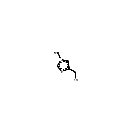 CC(C)(C)n1cnc(CO)c1